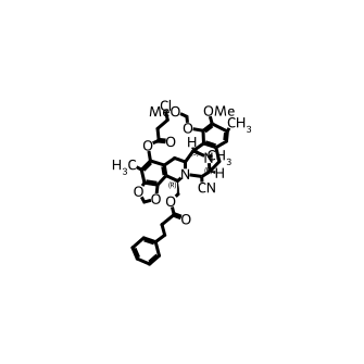 COCOc1c(OC)c(C)cc2c1[C@H]1C3Cc4c(OC(=O)CCCl)c(C)c5c(c4[C@H](COC(=O)CCc4ccccc4)N3C(C#N)[C@@H](C2)N1C)OCO5